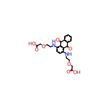 O=C(O)COCCNc1ccc(NCCOCC(=O)O)c2c1C(=O)c1ccccc1C2=O